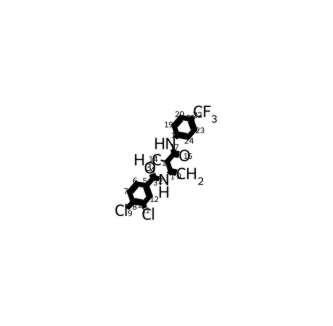 C=C(NC(=O)c1ccc(Cl)c(Cl)c1)[C@H](C)C(=O)Nc1ccc(C(F)(F)F)cc1